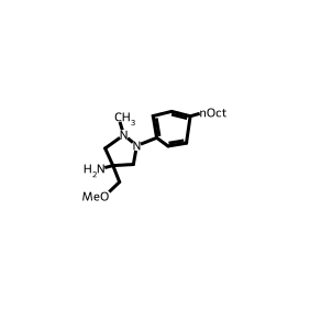 CCCCCCCCc1ccc(N2CC(N)(COC)CN2C)cc1